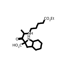 CCOC(=O)CCCCNC(C)C(=O)C1(C(=O)O)CC2CCCCC2N1